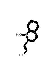 C/C=C/c1ccc2ccccc2[n+]1C